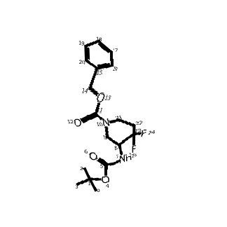 CC(C)(C)OC(=O)NC1CN(C(=O)OCc2ccccc2)CCC1(F)F